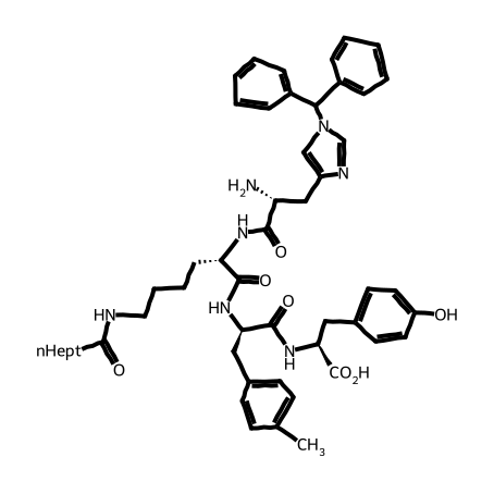 CCCCCCCC(=O)NCCCC[C@H](NC(=O)[C@H](N)Cc1cn(C(c2ccccc2)c2ccccc2)cn1)C(=O)N[C@H](Cc1ccc(C)cc1)C(=O)N[C@@H](Cc1ccc(O)cc1)C(=O)O